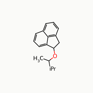 CC(C)C(C)OC1Cc2cccc3cccc1c23